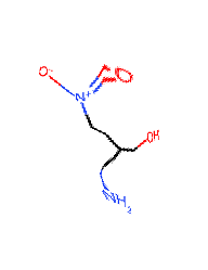 NC(O)C[N+](=O)[O-]